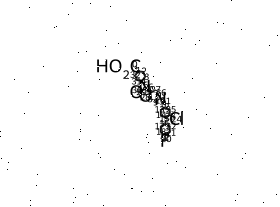 O=C(O)c1ccc(N2CC3(CCN(Cc4ccc(-c5ccc(F)cc5)c(Cl)c4)CC3)OC2=O)cc1